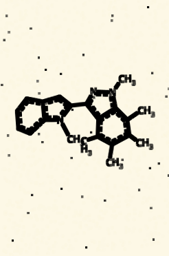 Cc1c(C)c(C)c2c(c(-c3cc4ccccc4n3C)nn2C)c1C